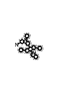 N#Cc1ccc2c(c1)c1cc(-c3c4cc(-c5ccccc5)ccc4c(-c4ccc5ccccc5n4)c4cc(-c5ccccc5)ccc34)ccc1n2-c1ccccc1